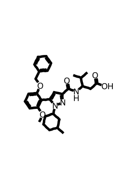 COc1cccc(OCc2ccccc2)c1-c1cc(C(=O)NC(CC(=O)O)C(C)C)nn1C1CCCC(C)C1